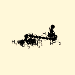 C=C(CN1CCC[C@@H](n2nc(-c3ccc(Oc4ccccc4)cc3)c3c(N)ncnc32)C1)C(=O)NCCOCCOCCOCCOCCOCCNC(=O)COc1cccc(C(CCc2ccc(OC)c(OC)c2)OC(=O)C2CCCCN2C(=O)[C@@H](CC)c2cc(OC)c(OC)c(OC)c2)c1